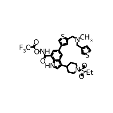 CCS(=O)(=O)N1CCC(c2c[nH]c3c(C(=O)NOC(=O)C(F)(F)F)cc(-c4csc(CN(C)Cc5ccsc5)c4)cc23)CC1